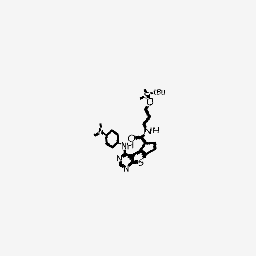 CN(C)[C@H]1CC[C@H](Nc2ncnc3sc4c(c23)C(C(=O)NCCCO[Si](C)(C)C(C)(C)C)CC4)CC1